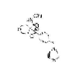 O=C(NO)C1(S(=O)(=O)c2ccc(Sc3ccncc3)cc2)CCOCC1